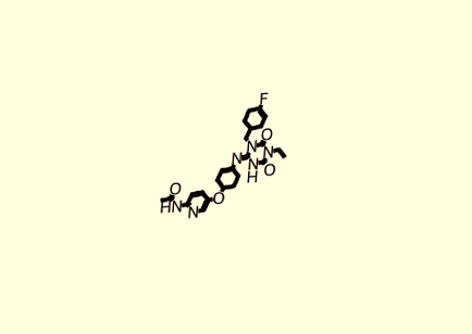 CCn1c(=O)[nH]/c(=N\C2=CCC(Oc3ccc(NC(C)=O)nc3)CC2)n(CC2CC=C(F)CC2)c1=O